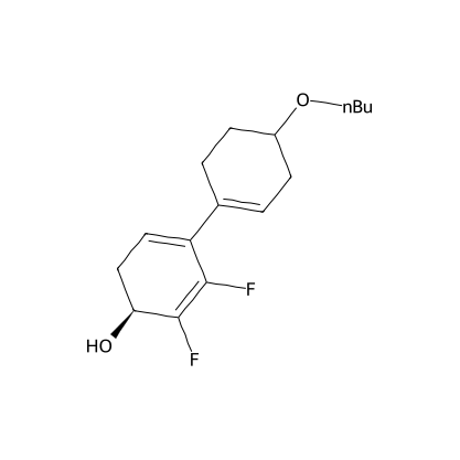 CCCCOC1CC=C(C2=CC[C@H](O)C(F)=C2F)CC1